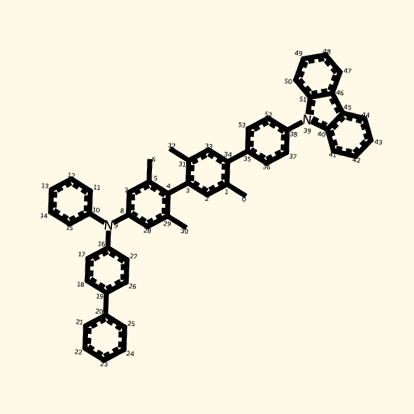 Cc1cc(-c2c(C)cc(N(c3ccccc3)c3ccc(-c4ccccc4)cc3)cc2C)c(C)cc1-c1ccc(-n2c3ccccc3c3ccccc32)cc1